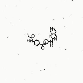 CCC(=O)Nc1ccc(C(=O)N2CC[C@@H](Nc3ncc4ccncc4n3)C2)cc1